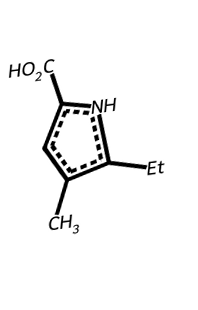 CCc1[nH]c(C(=O)O)cc1C